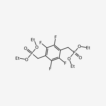 CCOP(=O)(Cc1c(F)c(F)c(CP(=O)(OCC)OCC)c(F)c1F)OCC